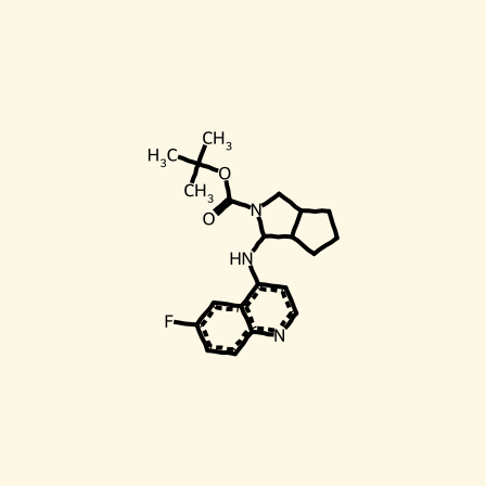 CC(C)(C)OC(=O)N1CC2CCCC2C1Nc1ccnc2ccc(F)cc12